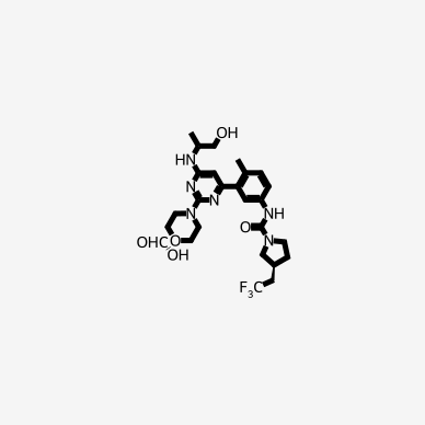 Cc1ccc(NC(=O)N2CC[C@@H](CC(F)(F)F)C2)cc1-c1cc(NC(C)CO)nc(N2CCOCC2)n1.O=CO